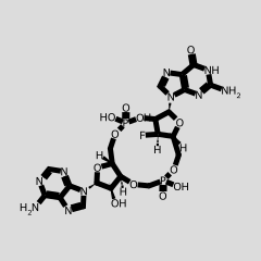 Nc1nc2c(ncn2[C@@H]2O[C@@H]3COP(=O)(O)CO[C@H]4[C@@H](O)[C@H](n5cnc6c(N)ncnc65)O[C@@H]4COP(=O)(O)O[C@@H]2[C@@H]3F)c(=O)[nH]1